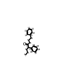 [CH2]CCC(C(=O)CCCc1ccccc1)c1ccccc1